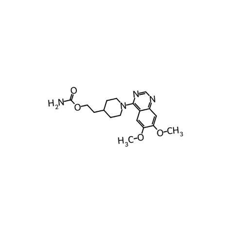 COc1cc2ncnc(N3CCC(CCOC(N)=O)CC3)c2cc1OC